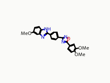 COc1ccc2[nH]c(-c3ccc(-c4noc(-c5ccc(OC)c(OC)c5)n4)cc3)nc2c1